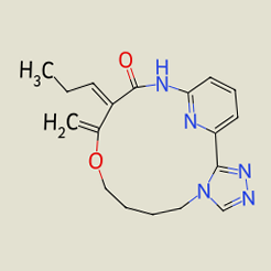 C=C1OCCCCn2cnnc2-c2cccc(n2)NC(=O)/C1=C/CC